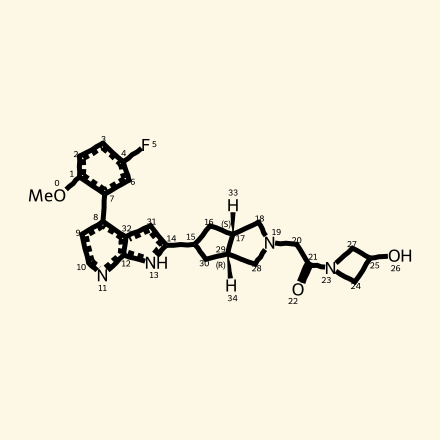 COc1ccc(F)cc1-c1ccnc2[nH]c(C3C[C@@H]4CN(CC(=O)N5CC(O)C5)C[C@@H]4C3)cc12